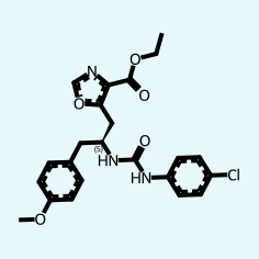 CCOC(=O)c1ncoc1C[C@H](Cc1ccc(OC)cc1)NC(=O)Nc1ccc(Cl)cc1